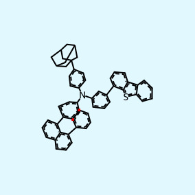 c1ccc(-c2cccc3cccc(-c4ccc(N(c5ccc(C67CC8CC(CC(C8)C6)C7)cc5)c5cccc(-c6cccc7c6sc6ccccc67)c5)cc4)c23)cc1